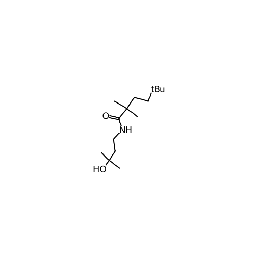 CC(C)(C)CCC(C)(C)C(=O)NCCC(C)(C)O